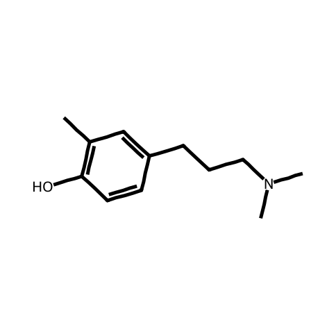 Cc1cc(CCCN(C)C)ccc1O